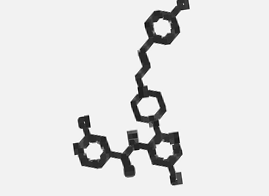 O=C(Nc1cc(Cl)cnc1N1CCN(C/C=C/c2ccc(Cl)cc2)CC1)c1ccnc(Cl)c1